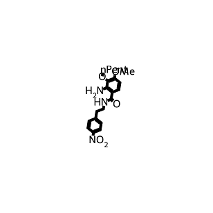 CCCCCOc1c(OC)ccc(C(=O)NCCc2ccc([N+](=O)[O-])cc2)c1N